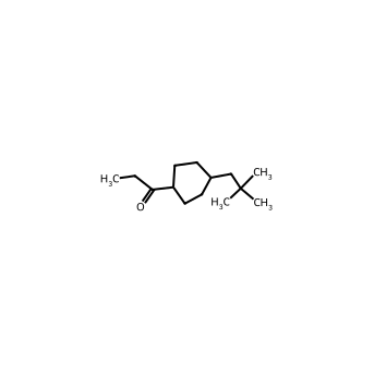 CCC(=O)C1CCC(CC(C)(C)C)CC1